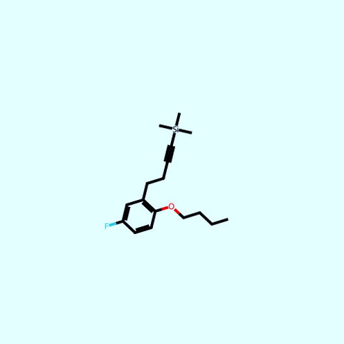 CCCCOc1ccc(F)cc1CCC#C[Si](C)(C)C